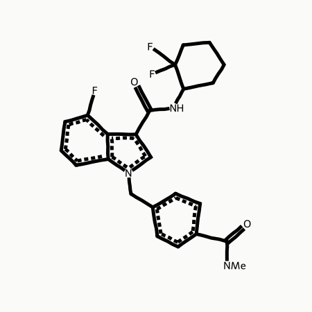 CNC(=O)c1ccc(Cn2cc(C(=O)NC3CCCCC3(F)F)c3c(F)cccc32)cc1